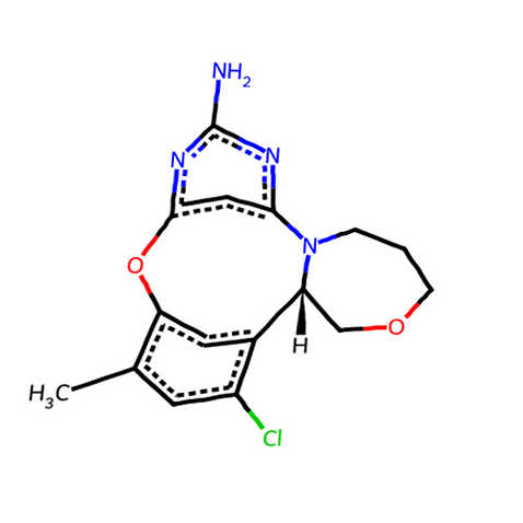 Cc1cc(Cl)c2cc1Oc1cc(nc(N)n1)N1CCCOC[C@H]21